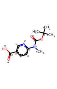 CN(C(=O)OC(C)(C)C)c1ccc(C(=O)O)cn1